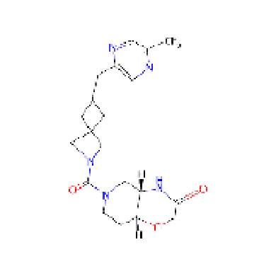 O=C1CO[C@@H]2CCN(C(=O)N3CC4(CC(Cc5cnc(C(F)(F)F)cn5)C4)C3)C[C@@H]2N1